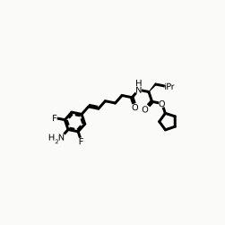 CC(C)C[C@H](NC(=O)CCC/C=C/c1cc(F)c(N)c(F)c1)C(=O)OC1CCCC1